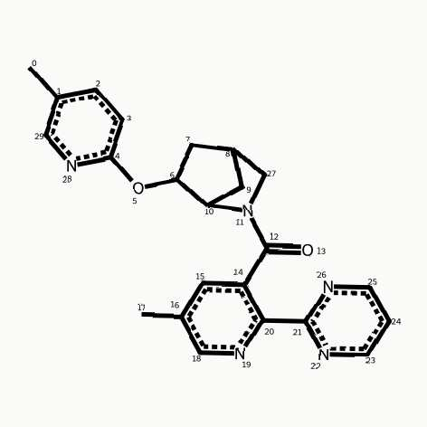 Cc1ccc(OC2CC3CC2N(C(=O)c2cc(C)cnc2-c2ncccn2)C3)nc1